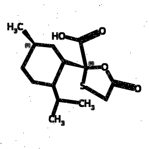 CC(C)C1CC[C@@H](C)CC1[C@@]1(C(=O)O)OC(=O)CS1